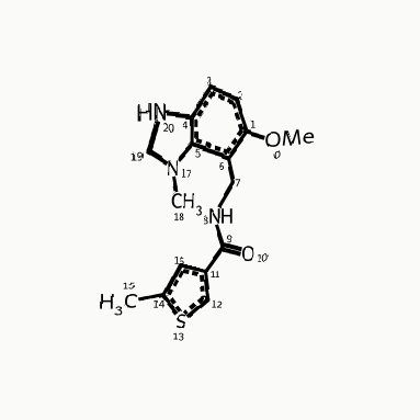 COc1ccc2c(c1CNC(=O)c1csc(C)c1)N(C)CN2